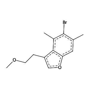 COCCc1coc2cc(C)c(Br)c(C)c12